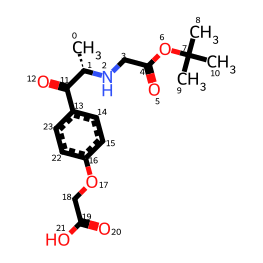 C[C@H](NCC(=O)OC(C)(C)C)C(=O)c1ccc(OCC(=O)O)cc1